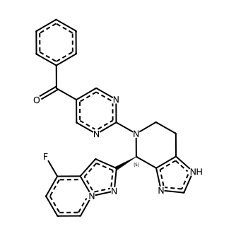 O=C(c1ccccc1)c1cnc(N2CCc3[nH]cnc3[C@H]2c2cc3c(F)cccn3n2)nc1